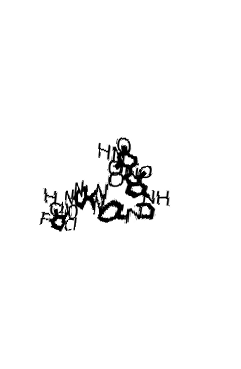 C[C@@H](Oc1cc(-c2cnn(C3CCC(CN4CCCC(Nc5ccc6c(c5)C(=O)N(C5CCC(=O)NC5=O)C6=O)C4)CC3)c2)cnc1N)c1c(Cl)ccc(F)c1Cl